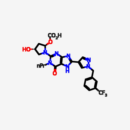 CCCn1c(N2C[C@H](O)C[C@H]2OC(=O)O)nc2nc(-c3cnn(Cc4cccc(C(F)(F)F)c4)c3)[nH]c2c1=O